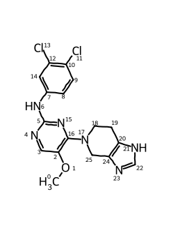 COc1cnc(Nc2ccc(Cl)c(Cl)c2)nc1N1CCc2[nH]cnc2C1